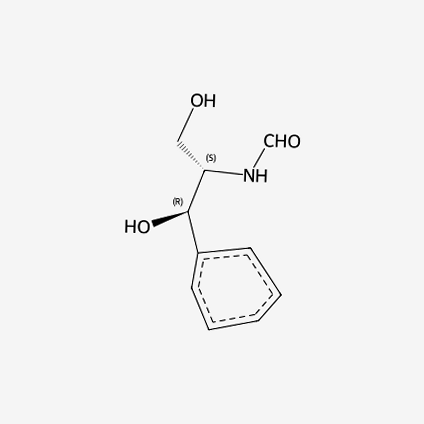 O=CN[C@@H](CO)[C@H](O)c1ccccc1